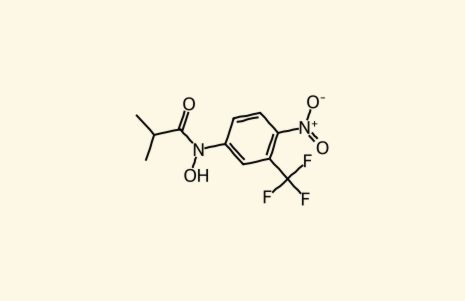 CC(C)C(=O)N(O)c1ccc([N+](=O)[O-])c(C(F)(F)F)c1